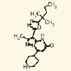 CCCC(C)(C)c1nnc(-c2c(C)nn3c(C4CCNCC4)cc(=O)[nH]c23)o1